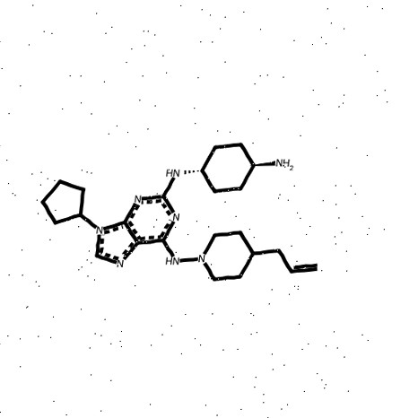 C=CCC1CCN(Nc2nc(N[C@H]3CC[C@H](N)CC3)nc3c2ncn3C2CCCC2)CC1